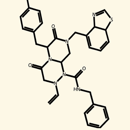 C=CN1CC(=O)N2C(Cc3ccc(O)cc3)C(=O)N(CC3=CC=CC4SC=NC34)CC2N1C(=O)NCc1ccccc1